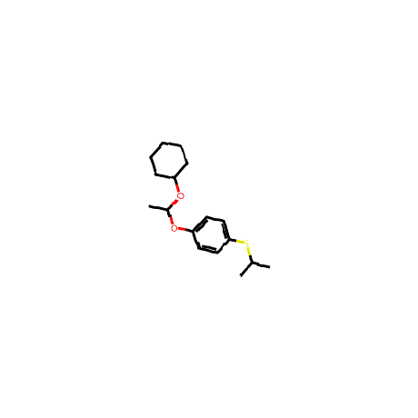 CC(Oc1ccc(SC(C)C)cc1)OC1CCCCC1